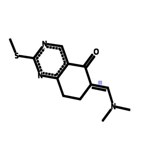 CSc1ncc2c(n1)CC/C(=C\N(C)C)C2=O